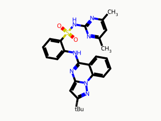 Cc1cc(C)nc(NS(=O)(=O)c2ccccc2Nc2nc3cc(C(C)(C)C)nn3c3ccccc23)n1